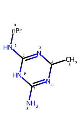 CCCNC1=NC(C)N=C(N)N1